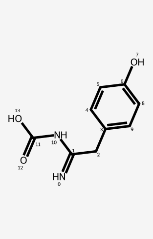 N=C(Cc1ccc(O)cc1)NC(=O)O